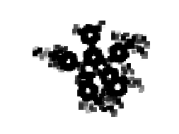 CC(C)(C)c1ccc(N2c3cc4c(cc3B3c5c2cc(-c2cc(F)cc(F)c2)cc5N(c2ccc(C(C)(C)C)cc2)c2sc5ccc(C(C)(C)C)cc5c23)C(C)(C)CCC4(C)C)cc1